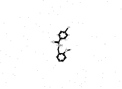 COc1ccccc1CNC(=O)c1ccc(I)cc1